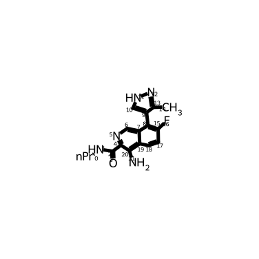 CCCNC(=O)c1ncc2c(-c3c[nH]nc3C)c(F)ccc2c1N